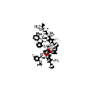 COc1ccccc1[C@H](Cn1c(=O)n(C(C)(C)C(=O)NS(=O)(=O)C2(C)CC2)c(=O)c2c(C)c(-n3ncc(CC4(S(=O)(=O)NC(=O)C(C)(C)n5c(=O)c6c(C)c(-c7ncco7)sc6n(C[C@H](O[C@@H]6C[C@H]7CC[C@@H](C6)O7)c6cc(F)ccc6OC(F)F)c5=O)CC4)n3)sc21)O[C@@H]1C[C@H]2CC[C@@H](C1)O2